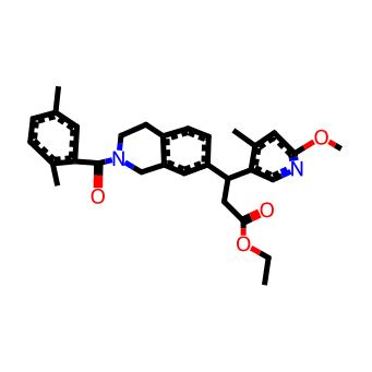 CCOC(=O)CC(c1ccc2c(c1)CN(C(=O)c1cc(C)ccc1C)CC2)c1cnc(OC)cc1C